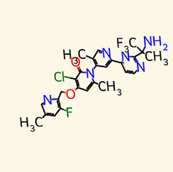 Cc1cnc(COc2cc(C)n(-c3cc(-c4ccnc(C(C)(N)C(F)(F)F)n4)ncc3C)c(=O)c2Cl)c(F)c1